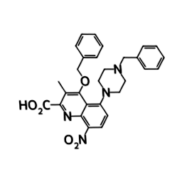 Cc1c(C(=O)O)nc2c([N+](=O)[O-])ccc(N3CCN(Cc4ccccc4)CC3)c2c1OCc1ccccc1